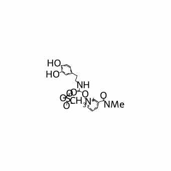 CNC(=O)c1ccc[n+](COC(=O)NCCc2ccc(O)c(O)c2)c1.CS(=O)(=O)[O-]